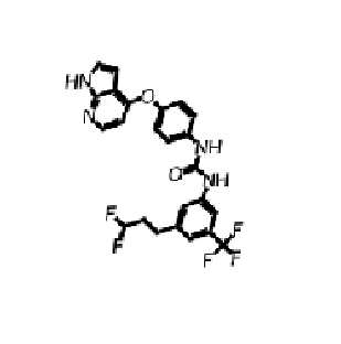 O=C(Nc1ccc(Oc2ccnc3[nH]ccc23)cc1)Nc1cc(CCC(F)F)cc(C(F)(F)F)c1